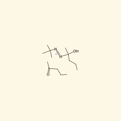 CCCC(C)(O)/N=N/C(C)(C)C.CCCC(C)=O